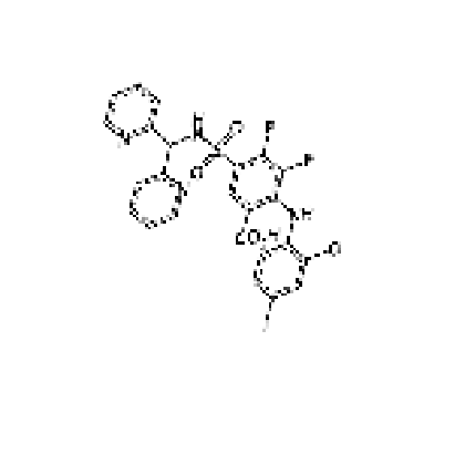 O=C(O)c1cc(S(=O)(=O)NC(c2ccccn2)c2ccccn2)c(F)c(F)c1Nc1ccc(I)cc1Cl